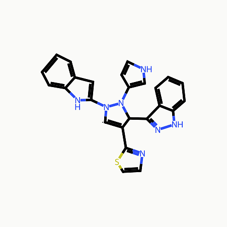 [C]1=C(c2nccs2)C(c2n[nH]c3ccccc23)N(c2cc[nH]c2)N1c1cc2ccccc2[nH]1